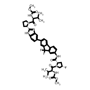 COC(=O)N[C@H](C(=O)N1C[C@@H](F)C[C@H]1C(=O)Nc1ccc2c(c1)C(F)(F)c1cc(-c3ccc4[nH]c([C@@H]5CCCN5C(=O)[C@@H](NC(=O)OC)C(C)C)nc4c3)ccc1-2)C(C)C